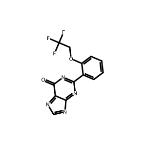 O=C1N=C(c2ccccc2OCC(F)(F)F)N=C2N=CN=C12